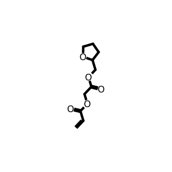 C=CC(=O)OCC(=O)OCC1CCCO1